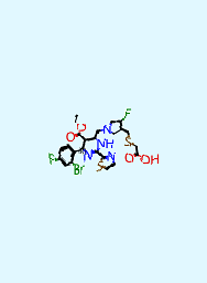 CCOC(=O)C1=C(CN2CC(F)C(CSCC(=O)O)C2)NC(c2nccs2)=N[C@H]1c1ccc(F)cc1Br